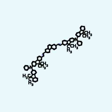 CC1(C)c2ccccc2-c2ccc(N(c3ccccc3)c3ccc4c(c3)C(C)(C)c3cc(/C=C/c5ccc6c(ccc7cc(/C=C/c8ccc9c(c8)C(C)(C)c8cc(N(c%10ccccc%10)c%10ccc%11c(c%10)C(C)(C)c%10ccccc%10-%11)ccc8-9)ccc76)c5)ccc3-4)cc21